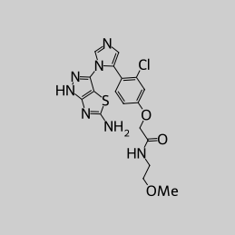 COCCNC(=O)COc1ccc(-c2cncn2-c2n[nH]c3nc(N)sc23)c(Cl)c1